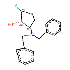 O[C@H]1[C@H](N(Cc2ccccc2)Cc2ccccc2)CC[C@@H]1F